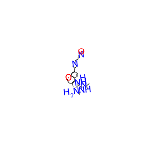 CC1=C(NC(C)C(NC(C)C)NC(C)N)c2ccc(C3CN(CCCN=O)C3)cc2OCC1